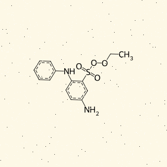 CCOOS(=O)(=O)c1cc(N)ccc1Nc1ccccc1